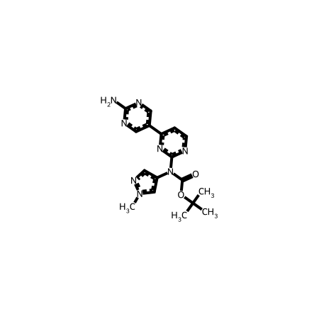 Cn1cc(N(C(=O)OC(C)(C)C)c2nccc(-c3cnc(N)nc3)n2)cn1